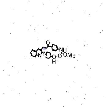 COC(=O)Nc1ccc(C(=O)/C=C/c2cc3ccccc3nc2N2CCC(O)CC2)cc1